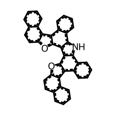 c1ccc2c(c1)ccc1oc3c(c4ccccc4c4[nH]c5c6ccccc6c6c(oc7ccc8ccccc8c76)c5c43)c12